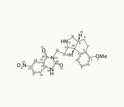 COc1cccc2c1CC[C@H]1CNC(CCn3c(=O)[nH]c4ccc([N+](=O)[O-])cc4c3=O)[C@@H]21